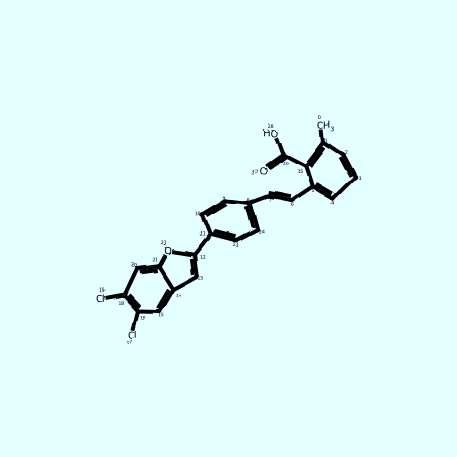 Cc1cccc(C=Cc2ccc(-c3cc4cc(Cl)c(Cl)cc4o3)cc2)c1C(=O)O